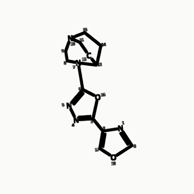 c1nc(-c2nnc(N3CCN4CCC3CC4)o2)co1